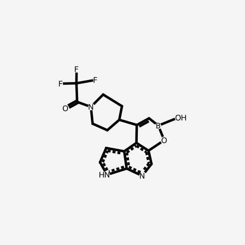 O=C(N1CCC(C2=CB(O)Oc3cnc4[nH]ccc4c32)CC1)C(F)(F)F